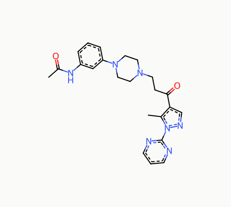 CC(=O)Nc1cccc(N2CCN(CCC(=O)c3cnn(-c4ncccn4)c3C)CC2)c1